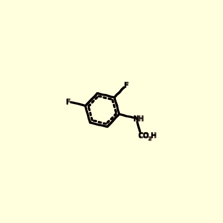 O=C(O)Nc1ccc(F)cc1F